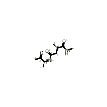 CNC(=O)[C@H](C)CC(=O)N[C@@H](C)C(C)=O